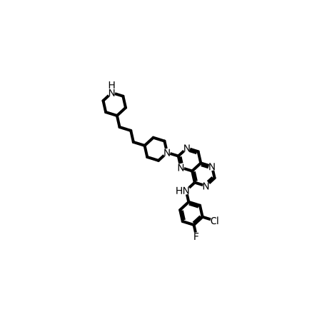 Fc1ccc(Nc2ncnc3cnc(N4CCC(CCCC5CCNCC5)CC4)nc23)cc1Cl